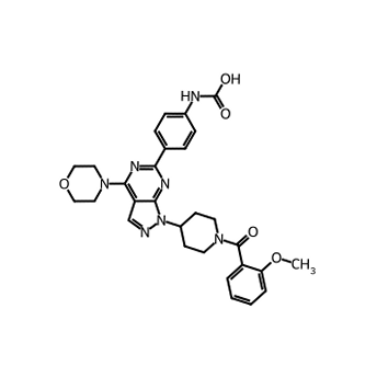 COc1ccccc1C(=O)N1CCC(n2ncc3c(N4CCOCC4)nc(-c4ccc(NC(=O)O)cc4)nc32)CC1